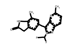 Cc1ccc2nn(C(F)F)c(-c3cc(C)c4c(c3)CC(=O)N4)c2n1